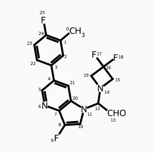 Cc1cc(-c2cnc3c(F)cn(C(C=O)N4CC(F)(F)C4)c3c2)ccc1F